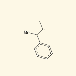 C[CH]C(Br)c1ccccc1